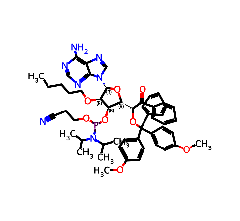 CCCCCO[C@@H]1[C@H](OP(OCCC#N)N(C(C)C)C(C)C)[C@@H](C(OC(c2ccccc2)(c2ccc(OC)cc2)c2ccc(OC)cc2)C(=O)c2ccccc2)O[C@H]1n1cnc2c(N)ncnc21